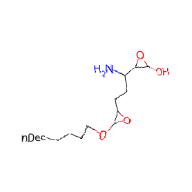 CCCCCCCCCCCCCCOC1OC1CCC(N)C1OC1O